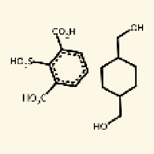 O=C(O)c1cccc(C(=O)O)c1S(=O)(=O)O.OCC1CCC(CO)CC1